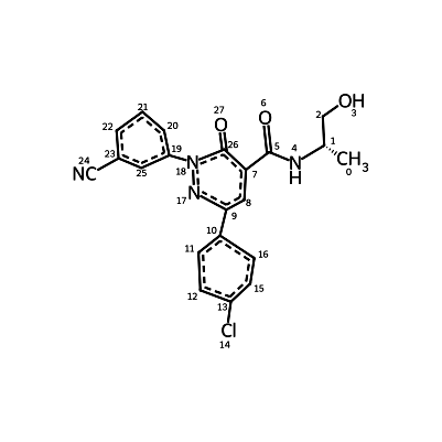 C[C@@H](CO)NC(=O)c1cc(-c2ccc(Cl)cc2)nn(-c2cccc(C#N)c2)c1=O